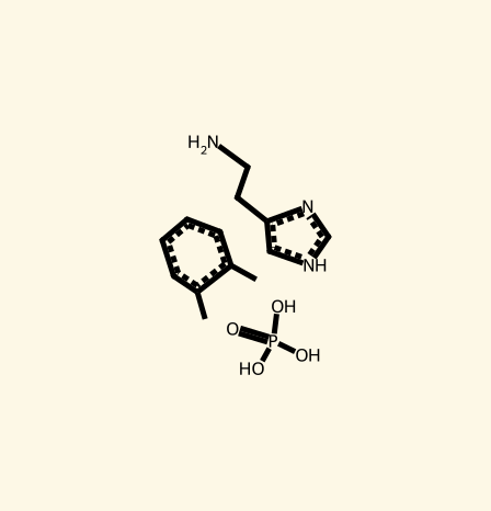 Cc1ccccc1C.NCCc1c[nH]cn1.O=P(O)(O)O